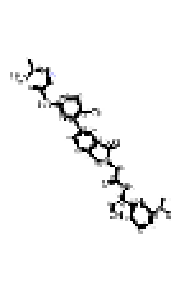 C=C(/C=N\N(C)N)Nc1ncc(Cl)c(-c2ccc3c(c2)C(=O)N(CC(=O)N[C@H](CO)c2cccc(N(C)C)n2)C3)n1